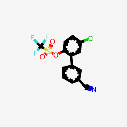 N#Cc1cccc(-c2cc(Cl)ccc2OS(=O)(=O)C(F)(F)F)c1